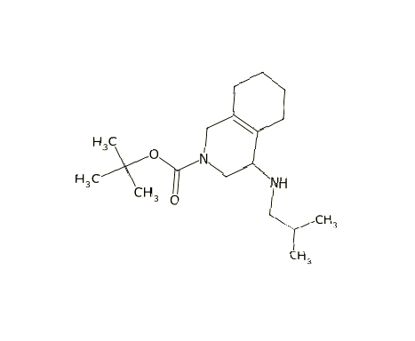 CC(C)CNC1CN(C(=O)OC(C)(C)C)CC2=C1CCCC2